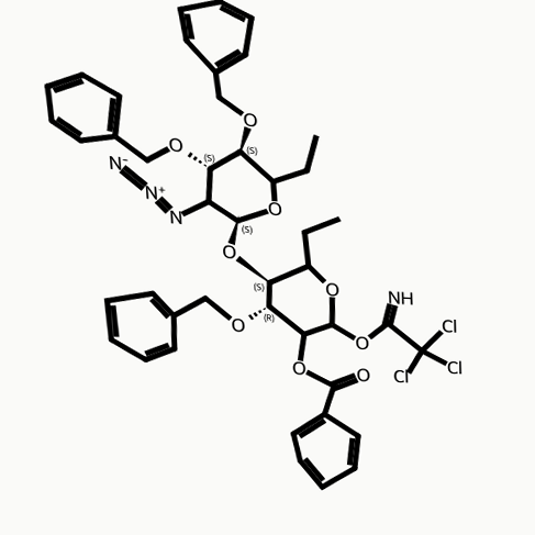 CCC1OC(OC(=N)C(Cl)(Cl)Cl)C(OC(=O)c2ccccc2)[C@H](OCc2ccccc2)[C@H]1O[C@@H]1OC(CC)[C@H](OCc2ccccc2)[C@@H](OCc2ccccc2)C1N=[N+]=[N-]